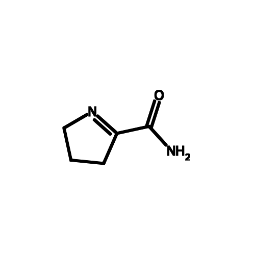 NC(=O)C1=NCCC1